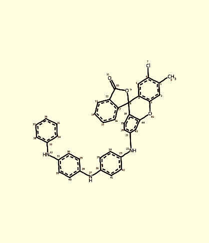 Cc1cc2c(cc1Cl)C1(OC(=O)c3ccccc31)c1ccc(Nc3ccc(Nc4ccc(Nc5ccccc5)cc4)cc3)cc1O2